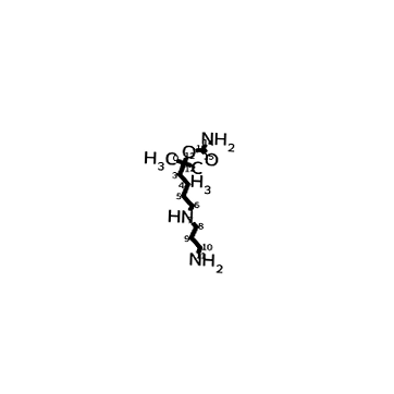 CC(C)(CCCCNCCCN)OC(N)=O